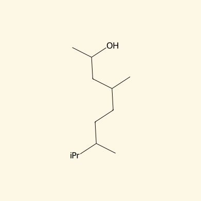 CC(O)CC(C)CCC(C)C(C)C